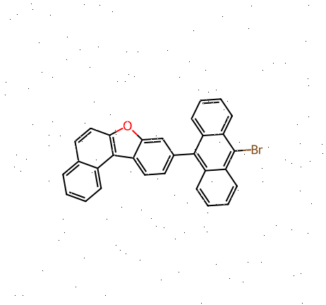 Brc1c2ccccc2c(-c2ccc3c(c2)oc2ccc4ccccc4c23)c2ccccc12